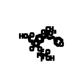 CS(=O)(=O)N(CCN1CCOCC1)c1ccc2c(c1)C(=O)C(=O)N2CC(=O)O.O=C(O)C(F)(F)F